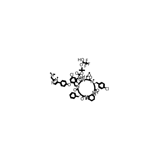 COC[C@@H]1NC(=O)[C@H](CCNC(=O)OC(C)(C)C)N(Cc2ccc(Cl)cc2Oc2ccc(-c3cnc(CN(C)C)n3C)cc2)C(=O)C[C@@H](Cc2ccccc2)C(=O)N(C)[C@H]2CCCC[C@@H]2NC(=O)C[C@H](Cc2ccc(Cl)cc2)N(C)C1=O.O=C(O)C(F)(F)F